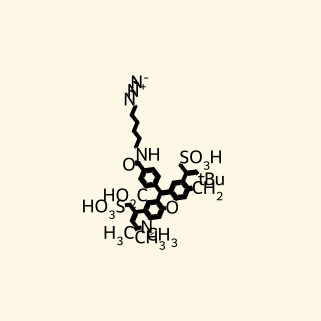 C=c1cc2c(cc1/C(=C\C(C)(C)C)CS(=O)(=O)O)=C(c1ccc(C(=O)NCCCCCCN=[N+]=[N-])cc1C(=O)O)c1cc3c(cc1O2)N(C)C(C)(C)C=C3CS(=O)(=O)O